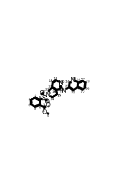 COC(=O)c1ccccc1S(=O)(=O)N1CCc2c(ccnc2Nc2cnc3ccccc3c2)C1